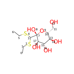 CCSC(SCC)[C@]1(O)O[C@H](CO)[C@@H](O)[C@H](O)[C@H]1O